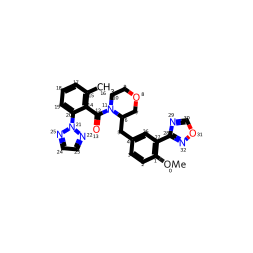 COc1ccc(CC2COCCN2C(=O)c2c(C)cccc2-n2nccn2)cc1-c1ncon1